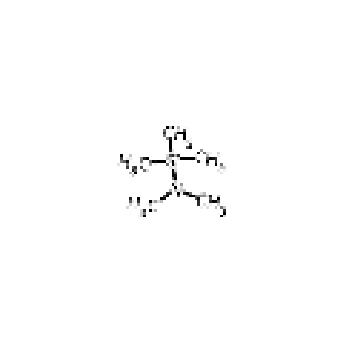 CN(C)[Si](C)(C)C